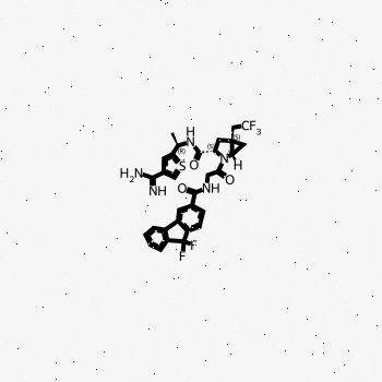 C[C@@H](NC(=O)[C@@H]1C[C@]2(CC(F)(F)F)C[C@@H]2N1C(=O)CNC(=O)c1ccc2c(c1)-c1ccccc1C2(F)F)c1cc(C(=N)N)cs1